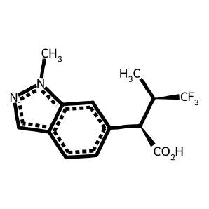 C[C@H]([C@@H](C(=O)O)c1ccc2cnn(C)c2c1)C(F)(F)F